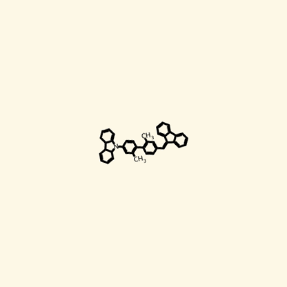 Cc1cc(C=C2c3ccccc3-c3ccccc32)ccc1-c1ccc(N2C3=CC=CCC3C3C=CC=CC32)cc1C